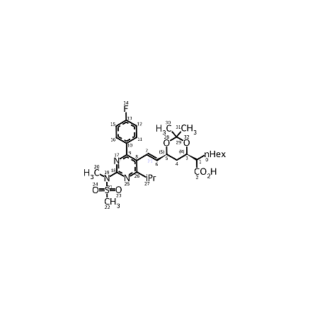 CCCCCCC(C(=O)O)[C@H]1C[C@@H](/C=C/c2c(-c3ccc(F)cc3)nc(N(C)S(C)(=O)=O)nc2C(C)C)OC(C)(C)O1